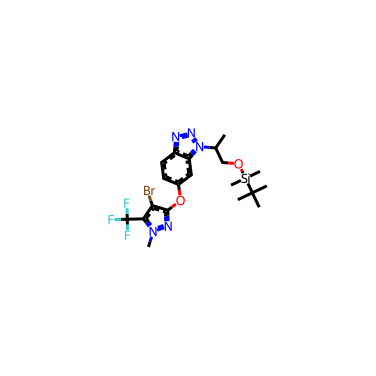 CC(CO[Si](C)(C)C(C)(C)C)n1nnc2ccc(Oc3nn(C)c(C(F)(F)F)c3Br)cc21